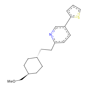 COC[C@H]1CC[C@H](CCc2ccc(-c3cccs3)cn2)CC1